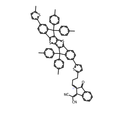 Cc1ccc(C2(c3ccc(C)cc3)c3cc(-c4ccc(C)s4)ccc3-c3sc4c5c(sc4c32)-c2ccc(-c3ccc(CC/C=C4\C(=O)c6ccccc6C4=C(C#N)C#N)s3)cc2C5(c2ccc(C)cc2)c2ccc(C)cc2)cc1